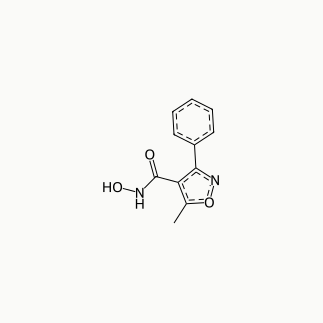 Cc1onc(-c2ccccc2)c1C(=O)NO